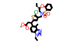 CC[C@@H]1CN(Cc2cc(C(CC(=O)OC)c3ccc4c(nnn4CC)c3C)sc2Cl)S(=O)(=O)c2ccccc2O1